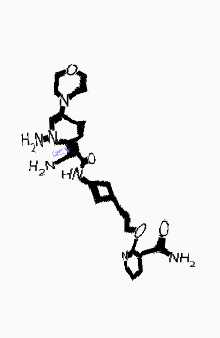 NC(=O)c1cccnc1OCCC1CC(NC(=O)/C(N)=C2\C=CC(N3CCOCC3)=CN2N)C1